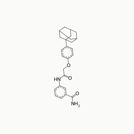 NC(=O)c1cccc(NC(=O)COc2ccc(C34CC5CC(CC(C5)C3)C4)cc2)c1